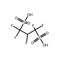 O=S(=O)(O)C(F)(F)C(F)C(F)(F)S(=O)(=O)O